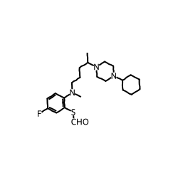 CC(CCCN(C)c1ccc(F)cc1SC=O)N1CCN(C2CCCCC2)CC1